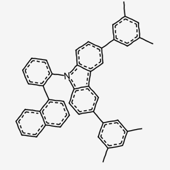 Cc1cc(C)cc(-c2ccc3c(c2)c2cc(-c4cc(C)cc(C)c4)ccc2n3-c2ccccc2-c2cccc3ccccc23)c1